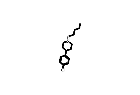 CCCCC[SiH]1CCC(c2ccc(Cl)cc2)CC1